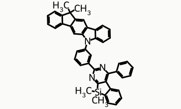 CC1(C)c2ccccc2-c2cc3c(cc21)c1ccccc1n3-c1cccc(-c2nc(-c3ccccc3)c3c(n2)[Si](C)(C)c2ccccc2-3)c1